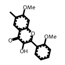 COc1cc2oc(-c3ccccc3OC)c(O)c(=O)c2cc1C